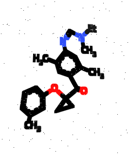 CCN(C)/C=N\c1cc(C)c(C(=O)C2(Oc3cccc(C)c3)CC2)cc1C